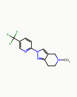 CN1CCc2nn(-c3ccc(C(F)(F)F)cn3)cc2C1